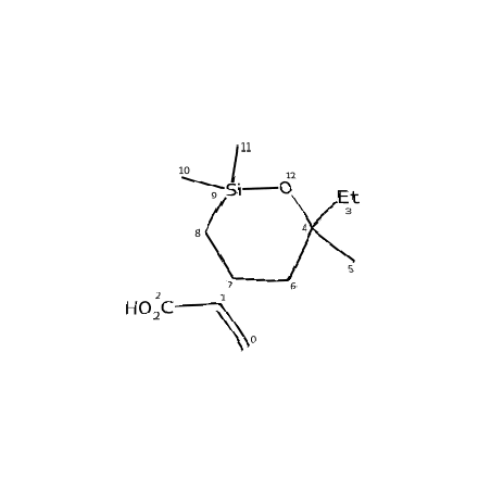 C=CC(=O)O.CCC1(C)CCC[Si](C)(C)O1